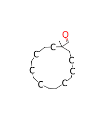 CC1(C=O)CCCCCCCCCCCCCC1